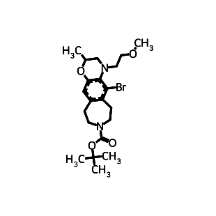 COCCN1CC(C)Oc2cc3c(c(Br)c21)CCN(C(=O)OC(C)(C)C)CC3